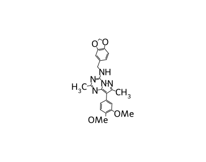 COc1ccc(-c2c(C)nn3c(NCc4ccc5c(c4)OCO5)nc(C)nc23)cc1OC